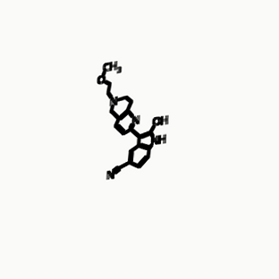 COCCN1CCc2nc(-c3c(O)[nH]c4ccc(C#N)cc34)ccc2C1